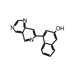 Oc1cc(-c2cc3ncncc3cn2)c2ccccc2c1